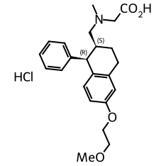 COCCOc1ccc2c(c1)CC[C@H](CN(C)CC(=O)O)[C@@H]2c1ccccc1.Cl